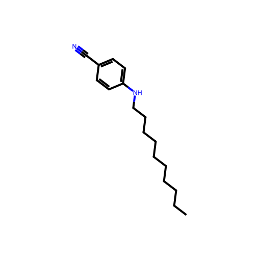 CCCCCCCCCCNc1ccc(C#N)cc1